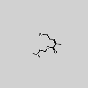 CC(=CCCBr)C(=O)OCCN(C)C